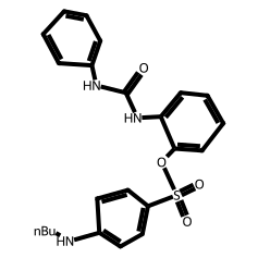 CCCCNc1ccc(S(=O)(=O)Oc2ccccc2NC(=O)Nc2ccccc2)cc1